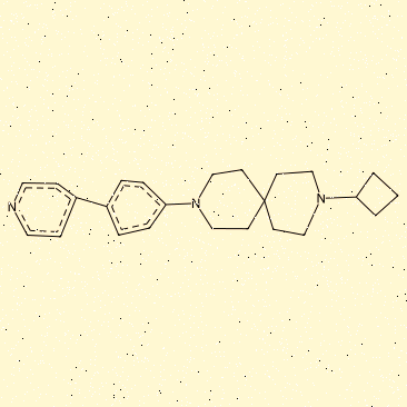 c1cc(-c2ccc(N3CCC4(CC3)CCN(C3CCC3)CC4)cc2)ccn1